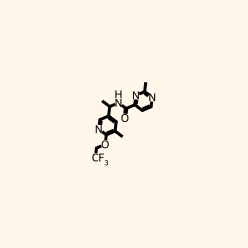 Cc1nccc(C(=O)NC(C)c2cnc(OCC(F)(F)F)c(C)c2)n1